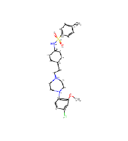 COc1cc(Cl)ccc1N1CCN(CCC2CCC(NS(=O)(=O)c3ccc(C)cc3)CC2)CC1